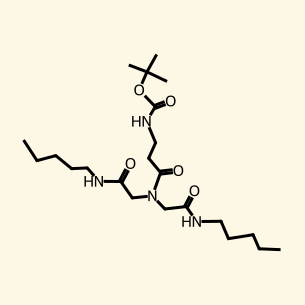 CCCCCNC(=O)CN(CC(=O)NCCCCC)C(=O)CCNC(=O)OC(C)(C)C